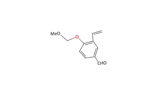 C=Cc1cc(C=O)ccc1OCOC